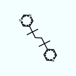 CC(C)(CCC(C)(C)c1cncnc1)c1ccncc1